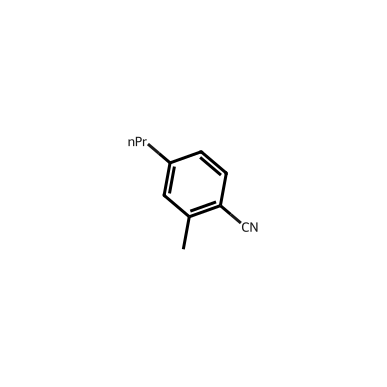 CCCc1ccc(C#N)c(C)c1